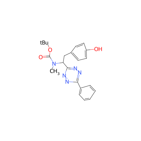 CN(C(=O)OC(C)(C)C)C(Cc1ccc(O)cc1)c1nnc(-c2ccccc2)nn1